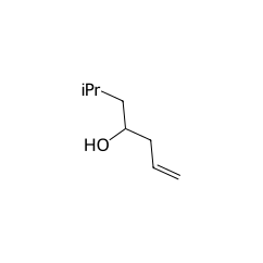 C=CCC(O)CC(C)C